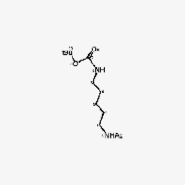 CC(=O)NCCCCCNC(=O)OC(C)(C)C